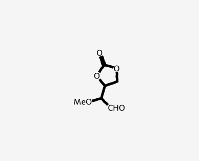 COC(C=O)C1COC(=O)O1